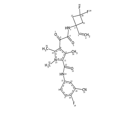 C=CC1(NC(=O)C(=O)c2c(C)c(C(=O)Nc3ccc(F)c(C#N)c3)n(C)c2C)CC(F)(F)C1